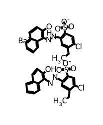 CCc1cc(N=Nc2c(O)ccc3ccccc23)c(S(=O)(=O)[O-])cc1Cl.CCc1cc(N=Nc2c(O)ccc3ccccc23)c(S(=O)(=O)[O-])cc1Cl.[Ba+2]